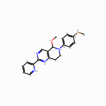 COC1c2cnc(-c3ccccn3)nc2CCN1c1ccc(SC)cc1